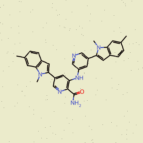 Cc1ccc2cc(-c3cncc(Nc4cc(-c5cc6ccc(C)cc6n5C)cnc4C(N)=O)c3)n(C)c2c1